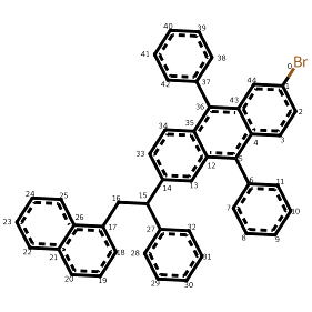 Brc1ccc2c(-c3ccccc3)c3cc(C(Cc4cccc5ccccc45)c4ccccc4)ccc3c(-c3ccccc3)c2c1